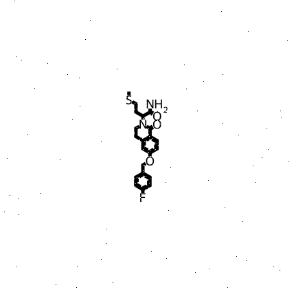 CSCCC(C(N)=O)N1CCc2cc(OCc3ccc(F)cc3)ccc2C1=O